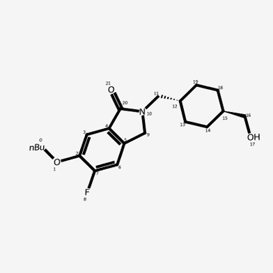 CCCCOc1cc2c(cc1F)CN(C[C@H]1CC[C@H](CO)CC1)C2=O